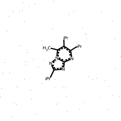 Cc1c(C(C)C)c(C(C)C)nc2nc(C(C)C)nn12